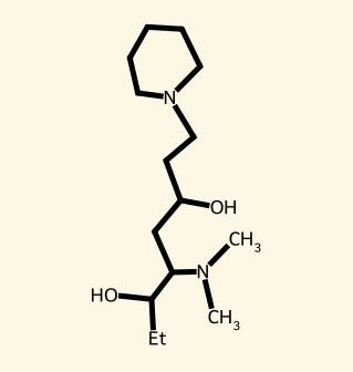 CCC(O)C(CC(O)CCN1CCCCC1)N(C)C